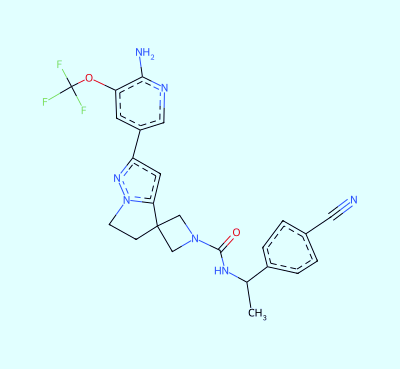 CC(NC(=O)N1CC2(CCn3nc(-c4cnc(N)c(OC(F)(F)F)c4)cc32)C1)c1ccc(C#N)cc1